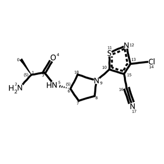 C[C@H](N)C(=O)N[C@H]1CCN(c2snc(Cl)c2C#N)C1